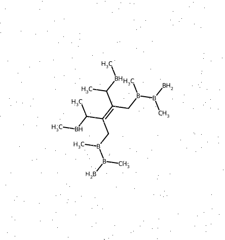 BB(C)B(C)C/C(=C(\CB(C)B(B)C)C(C)BC)C(C)BC